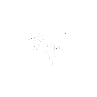 COCCOCCOc1cccc2c(C3=C(c4c(Cl)ccc5ccc(CN(C)C)cc45)C(=O)NC3=O)c[nH]c12.O=C1NC(=O)C(c2c[nH]c3ccccc23)=C1c1nc(N2CCNCC2)nc2ccccc12